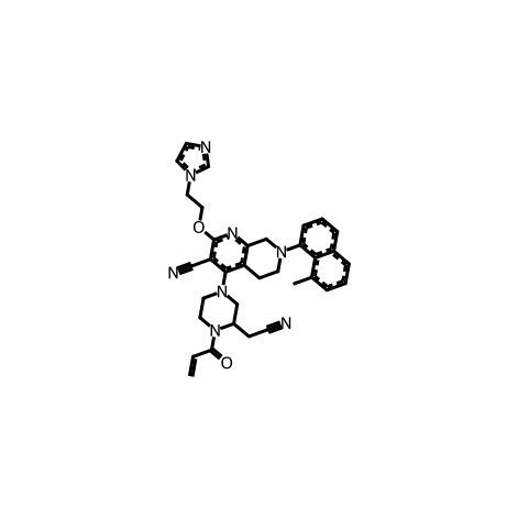 C=CC(=O)N1CCN(c2c(C#N)c(OCCn3ccnc3)nc3c2CCN(c2cccc4cccc(C)c24)C3)CC1CC#N